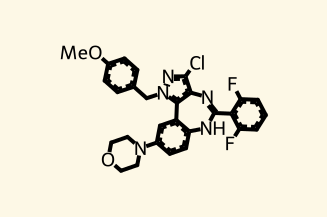 COc1ccc(Cn2nc(Cl)c3c2-c2cc(N4CCOCC4)ccc2NC(c2c(F)cccc2F)=N3)cc1